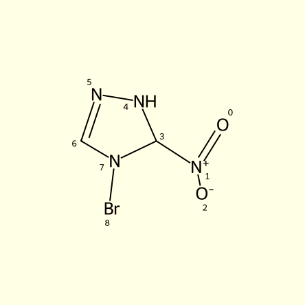 O=[N+]([O-])C1NN=CN1Br